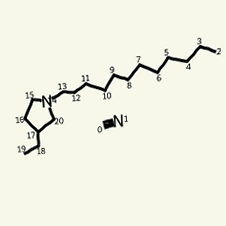 C#N.CCCCCCCCCCCCN1CCC(CC)C1